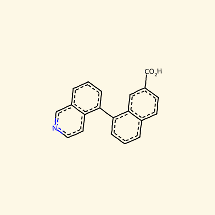 O=C(O)c1ccc2cccc(-c3cccc4cnccc34)c2c1